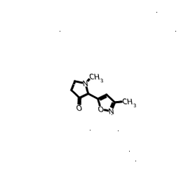 Cc1cc(C2C(=O)CCN2C)on1